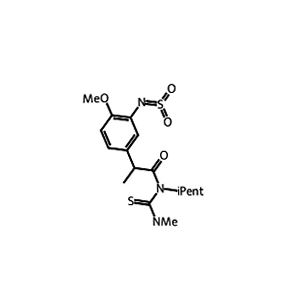 CCCC(C)N(C(=O)C(C)c1ccc(OC)c(N=S(=O)=O)c1)C(=S)NC